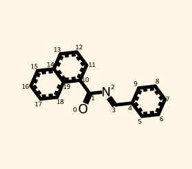 O=C(/N=C/c1ccccc1)c1cccc2ccccc12